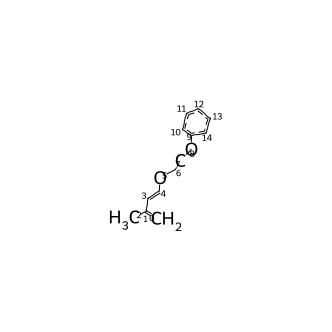 C=C(C)C=COCCOc1ccccc1